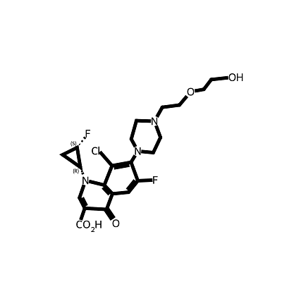 O=C(O)c1cn([C@@H]2C[C@@H]2F)c2c(Cl)c(N3CCN(CCOCCO)CC3)c(F)cc2c1=O